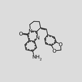 Nc1ccc2c(=O)n3c(nc2c1)/C(=C\c1ccc2c(c1)OCO2)CCC3